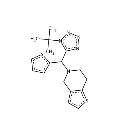 CC(C)(C)n1nnnc1C(c1cccs1)N1CCc2sccc2C1